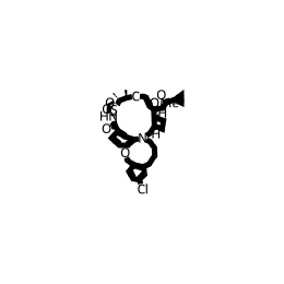 CO[C@@]1(CC(=O)C2CC2)/C=C/C[C@H](C)[C@@H](C)S(=O)(=O)NC(=O)c2ccc3c(c2)N(CCCCc2cc(Cl)ccc2CO3)C[C@@H]2CC[C@H]21